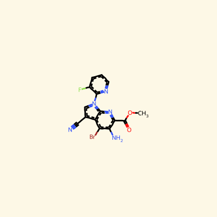 COC(=O)c1nc2c(c(C#N)cn2-c2ncccc2F)c(Br)c1N